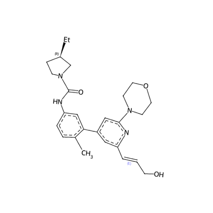 CC[C@@H]1CCN(C(=O)Nc2ccc(C)c(-c3cc(/C=C/CO)nc(N4CCOCC4)c3)c2)C1